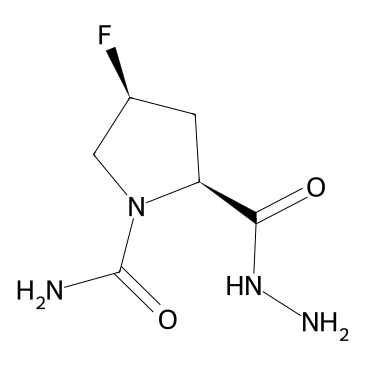 NNC(=O)[C@@H]1C[C@H](F)CN1C(N)=O